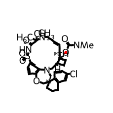 CNC(=O)O[C@H]1C=CCN(C)C(C)(C)C(=O)NS(=O)(=O)c2ccc3c(c2)N(C[C@@H]2CC[C@H]21)C[C@@]1(CCCc2cc(Cl)ccc21)CO3